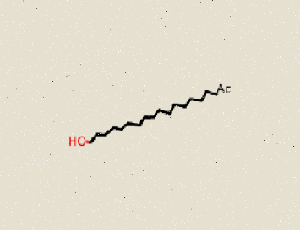 CC(=O)CCCCCCCCCCCCCCCCCO